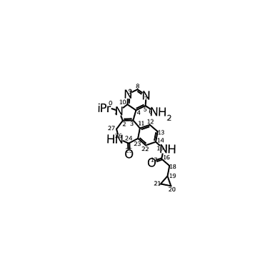 CC(C)n1c2c(c3c(N)ncnc31)-c1ccc(NC(=O)CC3CC3)cc1C(=O)NC2